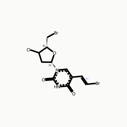 O=c1[nH]c(=O)n([C@@H]2CC(Cl)[C@H](CBr)O2)cc1/C=C/Br